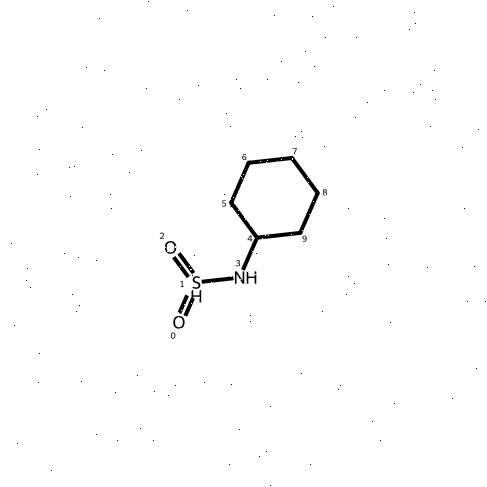 O=[SH](=O)NC1[CH]CCCC1